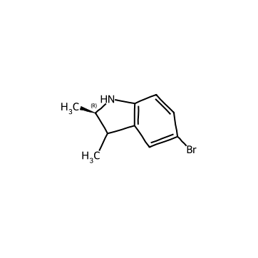 CC1c2cc(Br)ccc2N[C@@H]1C